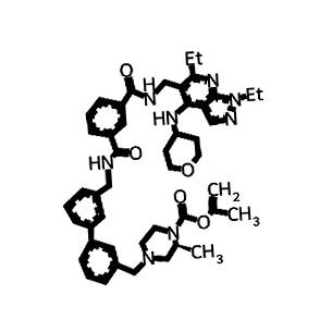 C=C(C)OC(=O)N1CCN(Cc2cccc(-c3cccc(CNC(=O)c4cccc(C(=O)NCc5c(CC)nc6c(cnn6CC)c5NC5CCOCC5)c4)c3)c2)C[C@@H]1C